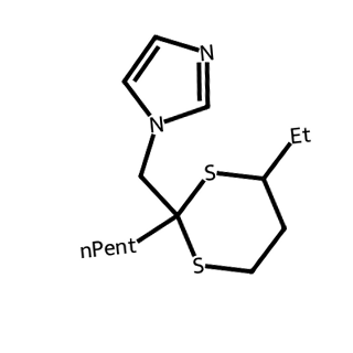 CCCCCC1(Cn2ccnc2)SCCC(CC)S1